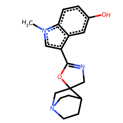 Cn1cc(C2=NCC3(CN4CCC3CC4)O2)c2cc(O)ccc21